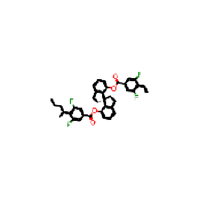 C=Cc1c(F)cc(C(=O)Oc2cccc3c2[C@@]2(CC3)CCc3cccc(OC(=O)c4cc(F)c(C(C)CCC)c(F)c4)c32)cc1F